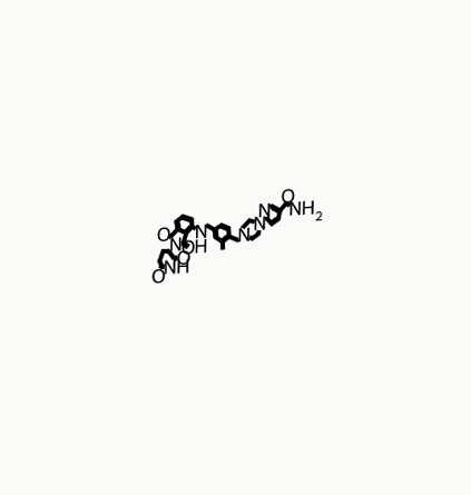 Cc1cc(CNc2cccc3c2C(=O)N(C2CCC(=O)NC2=O)C3=O)ccc1CN1CCN(c2ccc(C(N)=O)cn2)CC1